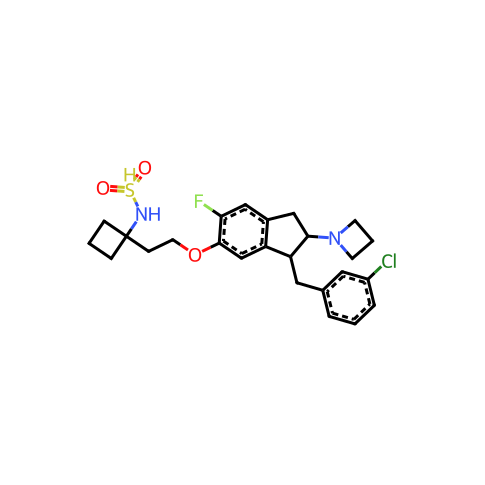 O=[SH](=O)NC1(CCOc2cc3c(cc2F)CC(N2CCC2)C3Cc2cccc(Cl)c2)CCC1